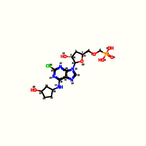 O=P(O)(O)COC[C@@H]1C[C@@H](O)C(n2cnc3c(NC4CCC(O)C4)nc(Cl)nc32)O1